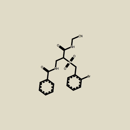 N#CCNC(=O)C(CNC(=O)c1ccccc1)S(=O)(=O)Cc1ccccc1Br